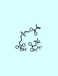 C=C(C)C(=O)OCC[N+](C)(C)CCCS(=O)(=O)O.C[N+](C)(C)CC(=O)O.[H+]